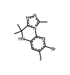 Cc1nnc2n1-c1nc(Br)c(F)cc1NC2(C)C